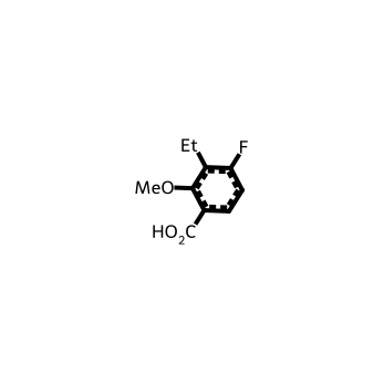 CCc1c(F)ccc(C(=O)O)c1OC